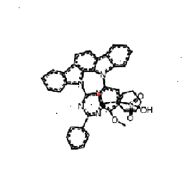 COc1ccc(-n2c3ccccc3c3ccc4c5ccccc5n(-c5nc(C6=CCCC=C6)nc(-c6ccccc6)n5)c4c32)cc1S(=O)(=O)O